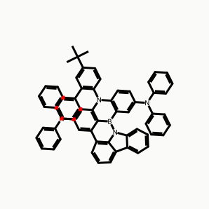 CC(C)(C)c1ccc(N2c3ccc(N(c4ccccc4)c4ccccc4)cc3B3c4c(cc(N(c5ccccc5)c5ccccc5)cc42)-c2cccc4c5ccccc5n3c24)c(-c2ccccc2)c1